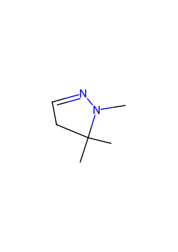 CN1N=CCC1(C)C